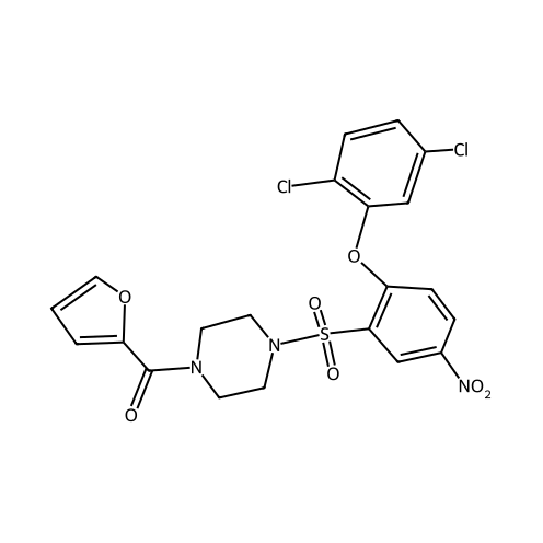 O=C(c1ccco1)N1CCN(S(=O)(=O)c2cc([N+](=O)[O-])ccc2Oc2cc(Cl)ccc2Cl)CC1